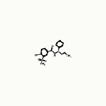 CCCN(NC(=O)c1ccc(Cl)c(S(N)(=O)=O)c1)c1ccccc1